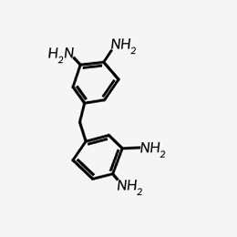 Nc1ccc(Cc2ccc(N)c(N)c2)cc1N